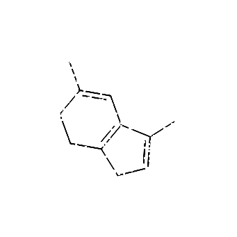 CC1=CC2=C(CC=C2C)CC1